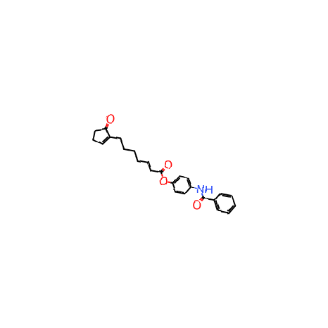 O=C(CCCCCCC1=CCCC1=O)Oc1ccc(NC(=O)c2ccccc2)cc1